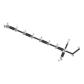 B=BB=BB=BB=S(=S)(I)CC